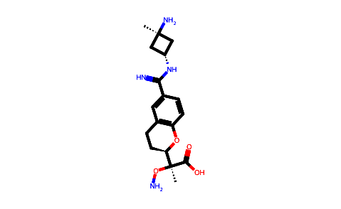 C[C@@](ON)(C(=O)O)[C@H]1CCc2cc(C(=N)N[C@H]3C[C@](C)(N)C3)ccc2O1